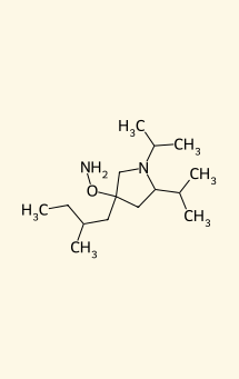 CCC(C)CC1(ON)CC(C(C)C)N(C(C)C)C1